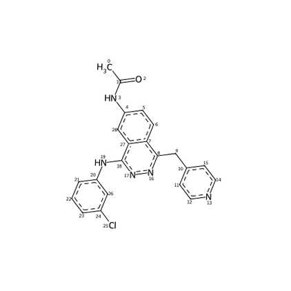 CC(=O)Nc1ccc2c(Cc3ccncc3)nnc(Nc3cccc(Cl)c3)c2c1